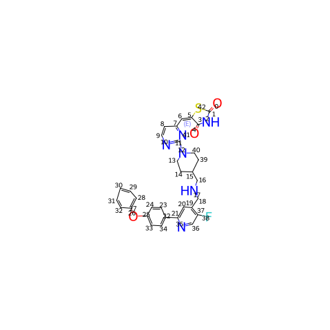 O=C1NC(=O)/C(=C\c2ccnc(N3CCC(CNCc4cc(-c5ccc(Oc6ccccc6)cc5)ncc4F)CC3)n2)S1